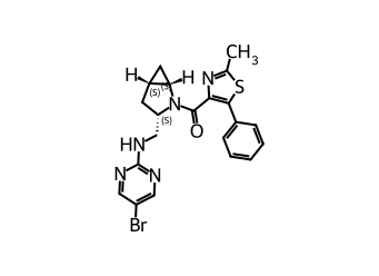 Cc1nc(C(=O)N2[C@H](CNc3ncc(Br)cn3)C[C@@H]3C[C@@H]32)c(-c2ccccc2)s1